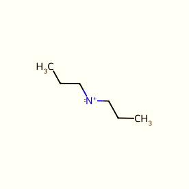 CCC[N+]CCC